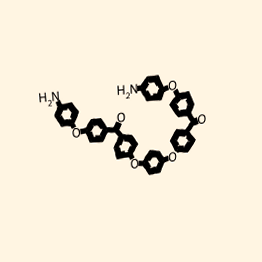 Nc1ccc(Oc2ccc(C(=O)c3ccc(Oc4ccc(Oc5ccc(C(=O)c6ccc(Oc7ccc(N)cc7)cc6)cc5)cc4)cc3)cc2)cc1